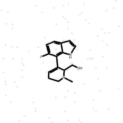 CN1CCC=C(c2c(F)ccc3cc[nH]c23)C1CO